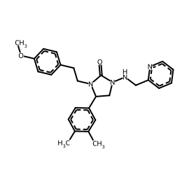 COc1ccc(CCN2C(=O)N(NCc3ccccn3)CC2c2ccc(C)c(C)c2)cc1